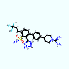 N=C(N)N1CCC(c2ccc(-c3ccc(CCC(F)(F)F)c(S(N)(=O)=O)c3-c3nn[nH]n3)cc2)CC1